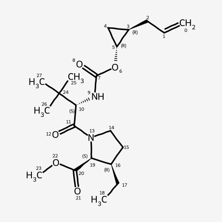 C=CC[C@@H]1C[C@H]1OC(=O)N[C@H](C(=O)N1CC[C@@H](CC)[C@H]1C(=O)OC)C(C)(C)C